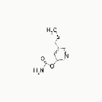 CSCc1cncc(OC(N)=O)c1